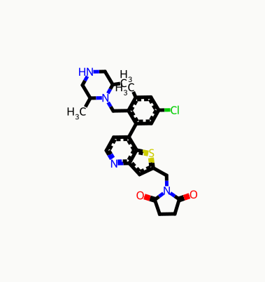 Cc1cc(Cl)cc(-c2ccnc3cc(CN4C(=O)CCC4=O)sc23)c1CN1C(C)CNCC1C